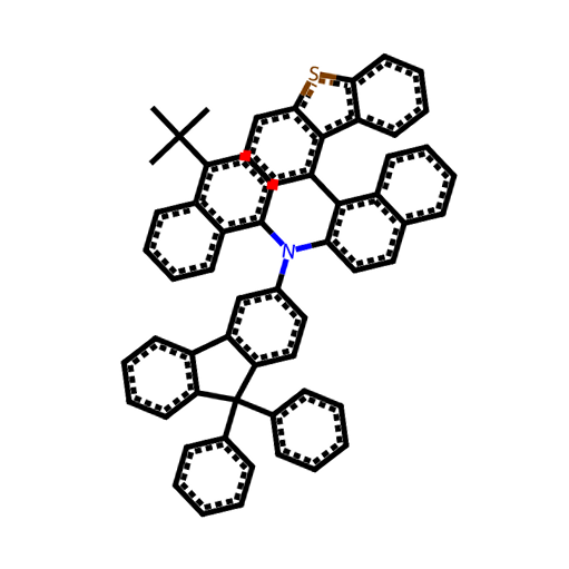 CC(C)(C)c1ccc(N(c2ccc3c(c2)-c2ccccc2C3(c2ccccc2)c2ccccc2)c2ccc3ccccc3c2-c2cccc3sc4ccccc4c23)c2ccccc12